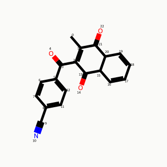 CC1=C(C(=O)c2ccc(C#N)cc2)C(=O)C2C=CC=CC2C1=O